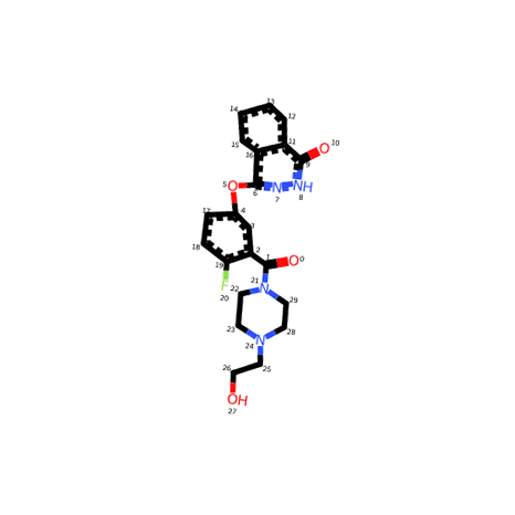 O=C(c1cc(Oc2n[nH]c(=O)c3ccccc23)ccc1F)N1CCN(CCO)CC1